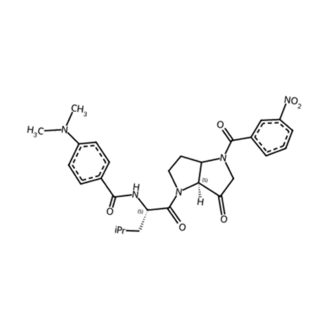 CC(C)C[C@H](NC(=O)c1ccc(N(C)C)cc1)C(=O)N1CCC2[C@H]1C(=O)CN2C(=O)c1cccc([N+](=O)[O-])c1